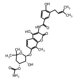 CC(C)=CCc1cc(C(=O)Nc2c(O)c3ccc(O[C@@H]4OC(C)(C)C[C@@H](OC(N)=O)[C@H]4O)c(C)c3oc2=O)ccc1O